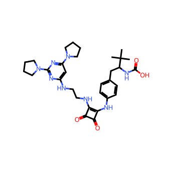 CC(C)(C)C(Cc1ccc(Nc2c(NCCNc3cc(N4CCCC4)nc(N4CCCC4)n3)c(=O)c2=O)cc1)NC(=O)O